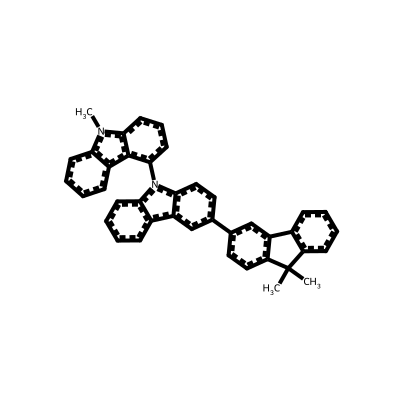 Cn1c2ccccc2c2c(-n3c4ccccc4c4cc(-c5ccc6c(c5)-c5ccccc5C6(C)C)ccc43)cccc21